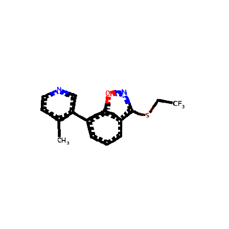 Cc1ccncc1-c1cccc2c(SCC(F)(F)F)noc12